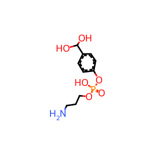 NCCCOP(=O)(O)Oc1ccc(C(O)O)cc1